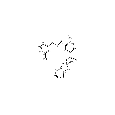 O=C(NC1(C(=O)O)Cc2ccccc2C1)c1ccc(C(F)(F)F)c(OCCc2cccc(Cl)c2)c1